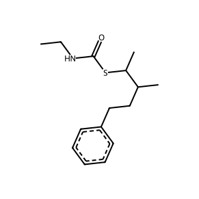 CCNC(=O)SC(C)C(C)CCc1ccccc1